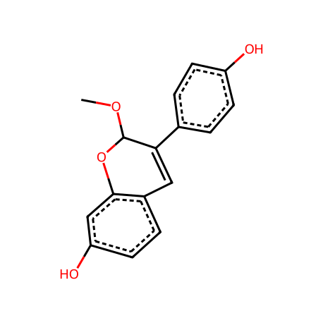 COC1Oc2cc(O)ccc2C=C1c1ccc(O)cc1